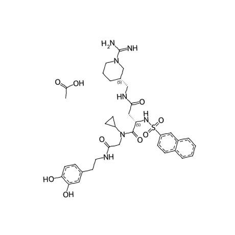 CC(=O)O.N=C(N)N1CCC[C@@H](CNC(=O)C[C@H](NS(=O)(=O)c2ccc3ccccc3c2)C(=O)N(CC(=O)NCCc2ccc(O)c(O)c2)C2CC2)C1